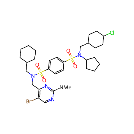 CNc1ncc(Br)c(CN(CC2CCCCC2)S(=O)(=O)c2ccc(S(=O)(=O)N(CC3CCC(Cl)CC3)C3CCCC3)cc2)n1